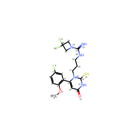 COc1ccc(F)cc1C1=CC(=O)NC(S)N1CCCNC(=N)N1CC(F)(F)C1